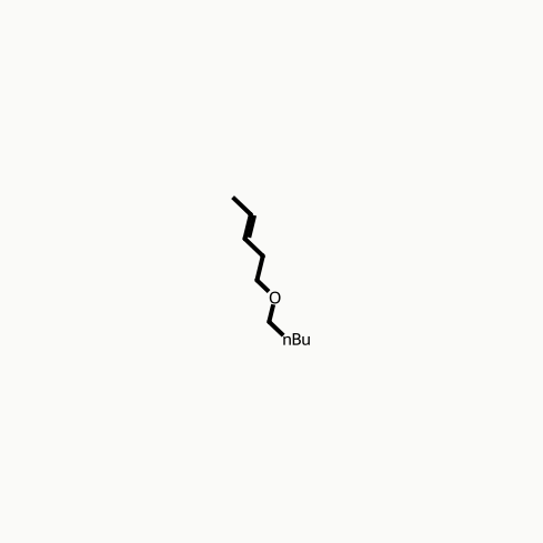 [CH2]CCCCOCC/C=C/C